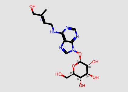 C/C(=C\CNc1ncnc2c1ncn2O[C@@H]1O[C@H](CO)[C@@H](O)[C@H](O)[C@H]1O)CO